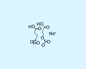 O=C(O)CCC(=O)O.O=C(O)CCO[S-](=O)=O.[Na+]